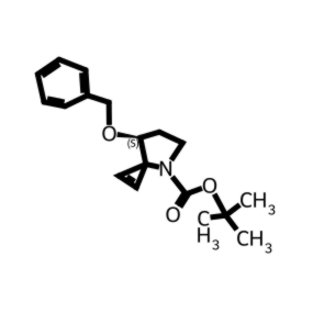 CC(C)(C)OC(=O)N1CC[C@H](OCc2ccccc2)C12C=C2